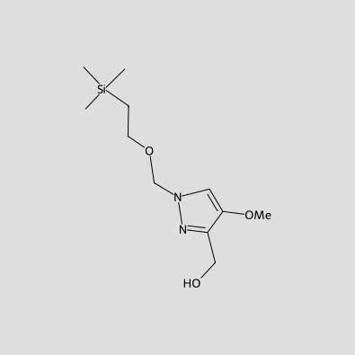 COc1cn(COCC[Si](C)(C)C)nc1CO